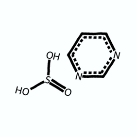 O=S(O)O.c1cncnc1